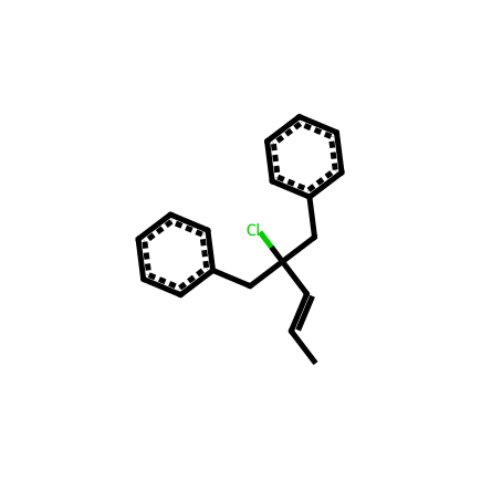 CC=CC(Cl)(Cc1ccccc1)Cc1ccccc1